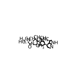 Cc1cc(-c2ccnc3[nH]cc(C#N)c23)cc(F)c1C1(O)[C@H](C)CN(C(=O)[C@H](CO)N(C)C)C[C@@H]1C